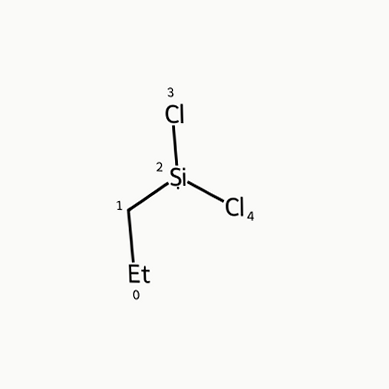 CCC[Si](Cl)Cl